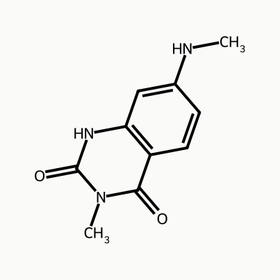 CNc1ccc2c(=O)n(C)c(=O)[nH]c2c1